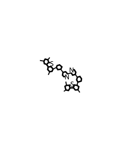 Cc1cc(C)c2sc3c(-c4cccc(-c5ccnc(-c6cc(-c7cccc(-c8cc(C)cc9c8sc8c(C)cc(C)cc89)c7)ccn6)c5)c4)cc(C)cc3c2c1